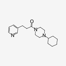 O=C(CCc1cccnc1)N1CCN(C2CCCCC2)CC1